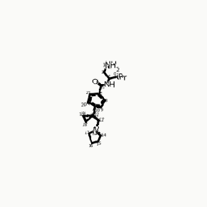 CC(C)C(CN)NC(=O)c1ccc(C2(CN3CCCC3)CC2)cc1